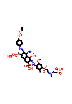 C=COOSc1ccc(N=Nc2c(SOOO)cc3cc(S(=O)(=O)O)c(N=Nc4cc(C)c(S(=O)(=O)CCN(C)CCS(=O)(=O)O)cc4OC)c(O)c3c2N)cc1